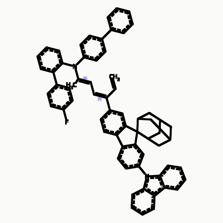 C=C/C(=C\C=C(/C)N(c1ccc(-c2ccccc2)cc1)c1ccccc1-c1ccc(F)cc1)c1ccc2c(c1)C1(c3cc(-n4c5ccccc5c5ccccc54)ccc3-2)C2CC3CC(C2)CC1C3